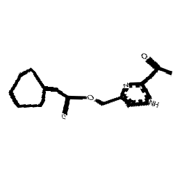 CC(=O)c1nc(COC(=O)CC2CCCCC2)c[nH]1